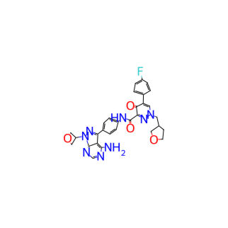 Nc1ncnc2c1c(-c1ccc(NC(=O)c3nn(CC4CCOC4)cc(-c4ccc(F)cc4)c3=O)cc1)nn2C1COC1